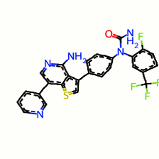 NC(=O)N(c1ccc(-c2csc3c(-c4cccnc4)cnc(N)c23)cc1)c1cc(C(F)(F)F)ccc1F